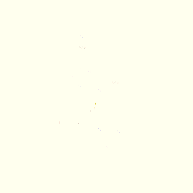 COc1cccc(OC)c1-n1c(NS(=O)(=O)[C@@H]2C[C@@H](OC(C)C)CN(c3ncc(F)cn3)C2)nnc1-c1cccnc1